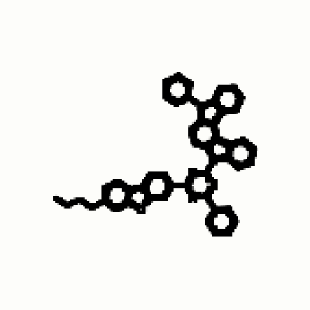 CCCCc1ccc2c(c1)oc1cc(-c3nc(-c4ccccc4)nc(-n4c5ccccc5c5c6c7ccccc7n(-c7ccccc7)c6ccc54)n3)ccc12